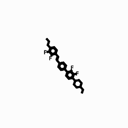 CCCc1ccc(/C=C/c2ccc(-c3ccc(C4CCC(CC)CC4)c(F)c3F)cc2)c(F)c1F